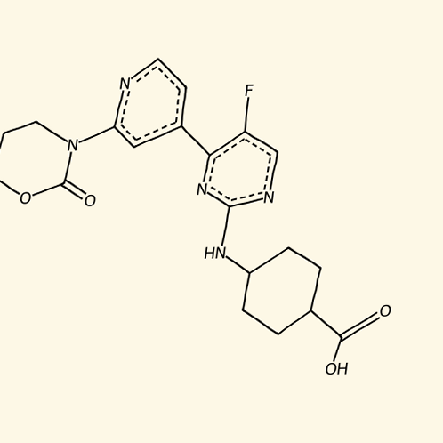 O=C(O)C1CCC(Nc2ncc(F)c(-c3ccnc(N4CCCOC4=O)c3)n2)CC1